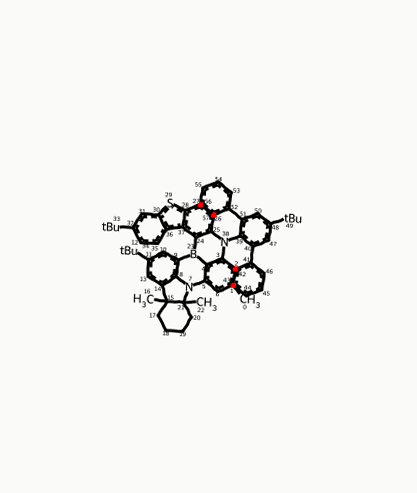 Cc1cc2c3c(c1)N1c4c(cc(C(C)(C)C)cc4C4(C)CCCCC14C)B3c1c(ccc3sc4cc(C(C)(C)C)ccc4c13)N2c1c(-c2ccccc2)cc(C(C)(C)C)cc1-c1ccccc1